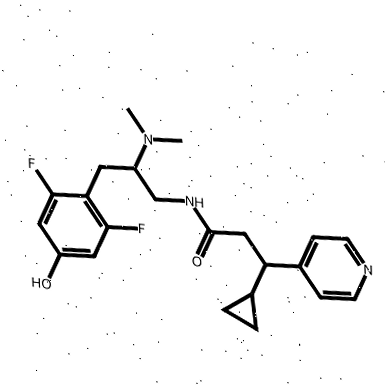 CN(C)C(CNC(=O)CC(c1ccncc1)C1CC1)Cc1c(F)cc(O)cc1F